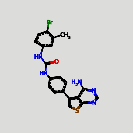 Cc1cc(NC(=O)Nc2ccc(-c3csc4ncnc(N)c34)cc2)ccc1Br